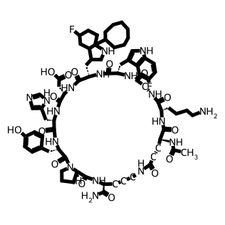 CC(=O)N[C@H]1CCC(=O)NCCC[C@@H](C(N)=O)NC(=O)[C@@H]2CCCN2C(=O)[C@H](Cc2ccc(O)cc2)NC(=O)[C@H](Cc2cnc[nH]2)NC(=O)[C@H](CC(=O)O)NC(=O)[C@H](CC2CNC3(C4CCCCCCC4)CCC(F)CC23)NC(=O)[C@H](Cc2c[nH]c3ccc(F)cc23)NC(=O)CNC(=O)[C@H](CCCCN)NC1=O